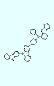 c1ccc2c(c1)sc1cc(-n3c4ccccc4c4cc(-c5ccc6c(c5)c5ccccc5n6-c5cccc6c5sc5ccccc56)ccc43)ccc12